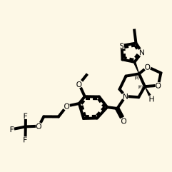 COc1cc(C(=O)N2CC[C@]3(c4csc(C)n4)OCO[C@@H]3C2)ccc1OCCOC(F)(F)F